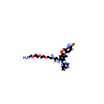 NCOCCOCCOCCNC(=O)CNc1cc2c(cc1Nc1ncnc3sccc13)CN(C1CCC(=O)NC1=O)C2=O